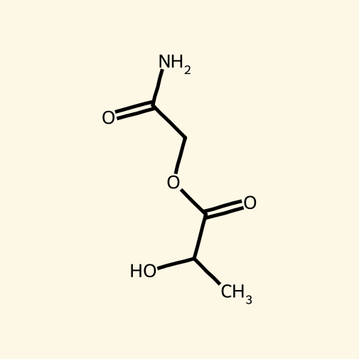 CC(O)C(=O)OCC(N)=O